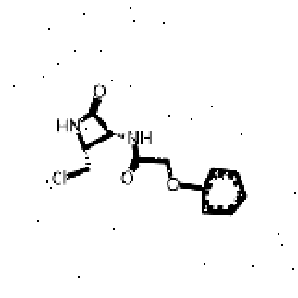 O=C(COc1ccccc1)N[C@H]1C(=O)N[C@H]1CCl